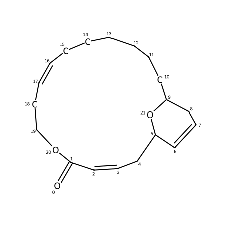 O=C1C=CCC2C=CCC(CCCCCCC=CCCO1)O2